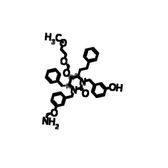 COCCOCO[C@@H]1[C@@H](CCc2ccccc2)N(Cc2cccc(O)c2)C(=O)N(Cc2cccc(OCN)c2)[C@@H]1Cc1ccccc1